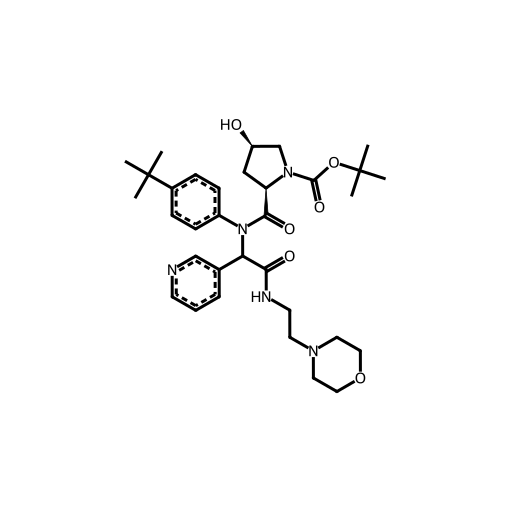 CC(C)(C)OC(=O)N1C[C@H](O)C[C@@H]1C(=O)N(c1ccc(C(C)(C)C)cc1)C(C(=O)NCCN1CCOCC1)c1cccnc1